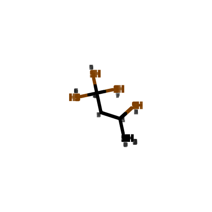 [SiH3]C(S)CC(S)(S)S